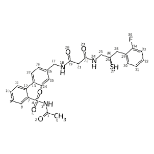 CC(=O)NS(=O)(=O)c1ccccc1-c1ccc(CNC(=O)CC(=O)NC[C@H](S)Cc2ccccc2F)cc1